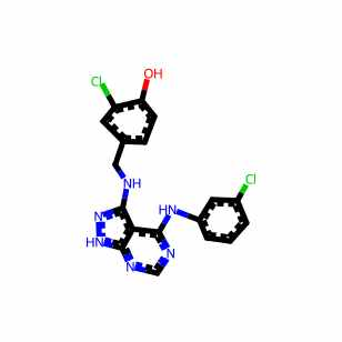 Oc1ccc(CNc2n[nH]c3ncnc(Nc4cccc(Cl)c4)c23)cc1Cl